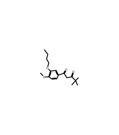 CCCCOc1cc(C(=O)CC(=O)C(C)(C)C)ccc1OC